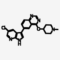 CN1CCC(Oc2ncnc3ccc(-c4c[nH]c5ncc(Cl)cc45)cc23)CC1